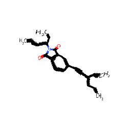 C=C/C=C(/C#Cc1ccc2c(c1)C(=O)N(/C(C=C)=C/C=C)C2=O)C=C